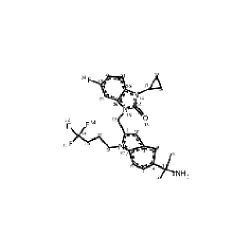 CC(C)(N)c1ccc2c(c1)cc(Cn1c(=O)n(C3CC3)c3ccc(F)cc31)n2CCCC(F)(F)F